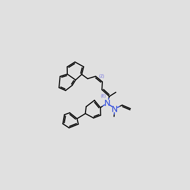 C=CN(C)N(C1=CCC(c2ccccc2)C=C1)/C(C)=C/C=C\Cc1cccc2ccccc12